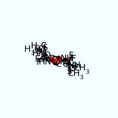 COC(=O)N[C@@H](CCSC)C(=O)N1CC(=C(F)F)C[C@H]1c1nc2cc(-c3cc4ccc3CCc3ccc(c(-c5ccc6[nH]c([C@@H]7CC(=C(F)F)CN7C(=O)[C@H](CCSC)NC(=O)OC)nc6c5)c3)CC4)ccc2[nH]1